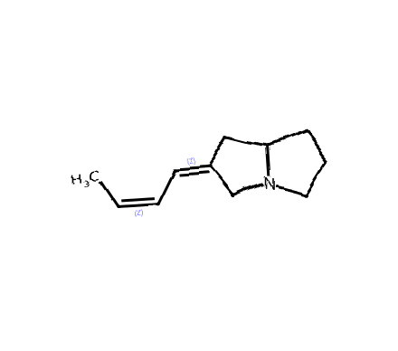 C/C=C\C=C1\CC2CCCN2C1